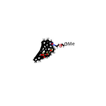 COCCOCCN1CC2C3=c4c5c6c7c(cc8cc9cc%10cc%11cc%12c%13c(c4c4c5c5c7c8c7c9c%10c8c%11c%13c4c8c75)=C(C3)C%12)CC62C1c1ccc(-c2ccc(-c3cccs3)s2)s1